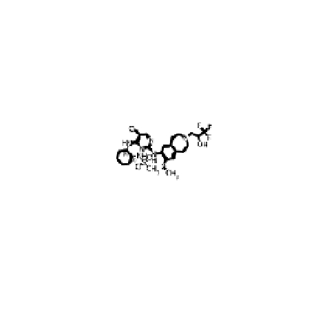 COc1cc2c(cc1Nc1ncc(Cl)c(N[C@@H]3CCCC[C@H]3NS(C)(=O)=O)n1)CCN(CC(O)C(F)(F)F)CC2